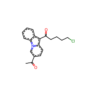 CC(=O)c1ccc2c(C(=O)CCCCCl)c3ccccc3n2c1